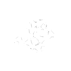 c1ccc(-c2cc(N(c3ccccc3)c3ccc4ccc5ccc6nc(-c7ccccc7)oc6c5c4c3)c3c(c2)sc2ccccc23)cc1